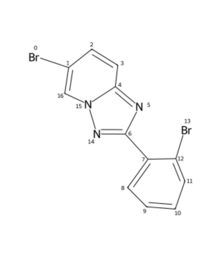 Brc1ccc2nc(-c3ccccc3Br)nn2c1